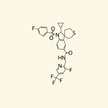 O=C(NCc1ncc(C(F)(F)F)cc1F)c1ccc2c(c1)C1(CCSCC1)C(C1CC1)N2S(=O)(=O)c1ccc(F)cc1